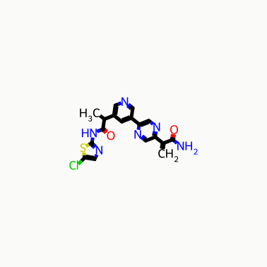 C=C(C(N)=O)c1cnc(-c2cncc(C(C)C(=O)Nc3ncc(Cl)s3)c2)cn1